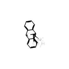 [C-]#[N+]C1(C(=O)O)CC2c3ccccc3C1c1ccccc12